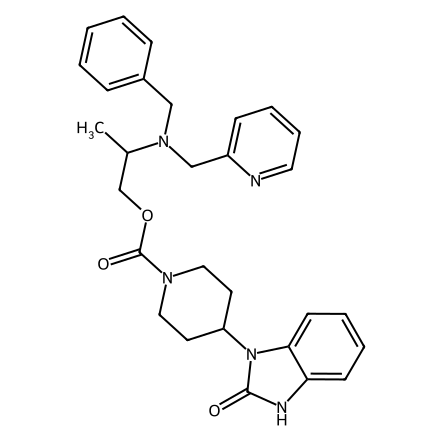 CC(COC(=O)N1CCC(n2c(=O)[nH]c3ccccc32)CC1)N(Cc1ccccc1)Cc1ccccn1